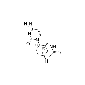 Nc1ccn([C@@H]2CC[C@H]3CC(=O)N[C@@H]2C3)c(=O)n1